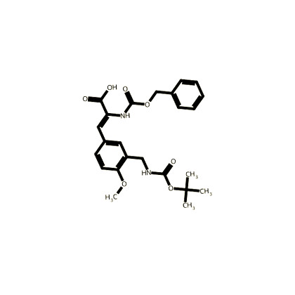 COc1ccc(C=C(NC(=O)OCc2ccccc2)C(=O)O)cc1CNC(=O)OC(C)(C)C